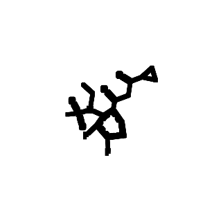 CCN(c1c(C(=O)CC(=O)C2CC2)ccc(F)c1F)S(C)(=O)=O